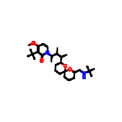 COC1=C(C(C)(C)C)C(=O)N(C(C)C(C)C(C)C2CCCC3(CCCC(CNC(C)(C)C)O3)O2)CC1